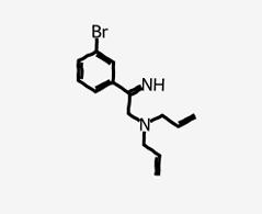 C=CCN(CC=C)CC(=N)c1cccc(Br)c1